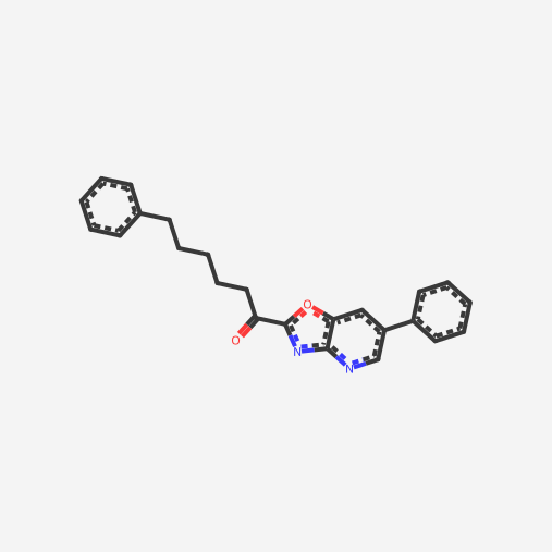 O=C(CCCCCc1ccccc1)c1nc2ncc(-c3ccccc3)cc2o1